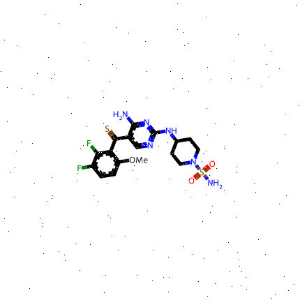 COc1ccc(F)c(F)c1C(=S)c1cnc(NC2CCN(S(N)(=O)=O)CC2)nc1N